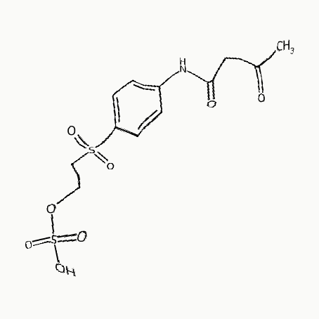 CC(=O)CC(=O)Nc1ccc(S(=O)(=O)CCOS(=O)(=O)O)cc1